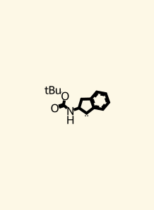 CC(C)(C)OC(=O)NC1[C]c2ccccc2C1